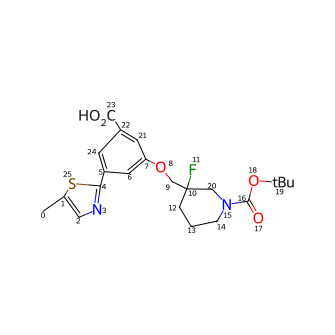 Cc1cnc(-c2cc(OCC3(F)CCCN(C(=O)OC(C)(C)C)C3)cc(C(=O)O)c2)s1